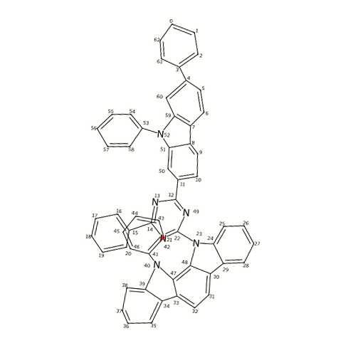 c1ccc(-c2ccc3c4ccc(-c5nc(-c6ccccc6)nc(-n6c7ccccc7c7ccc8c9ccccc9n(-c9ccccc9)c8c76)n5)cc4n(-c4ccccc4)c3c2)cc1